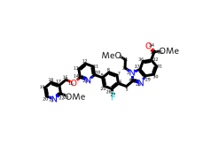 COCCn1c(Cc2ccc(-c3cccc(OCc4cccnc4OC)n3)cc2F)nc2ccc(C(=O)OC)cc21